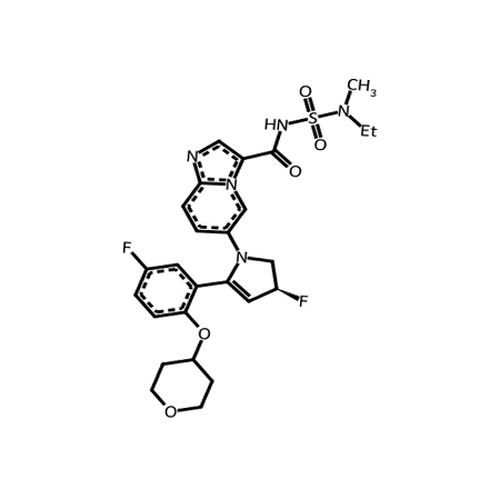 CCN(C)S(=O)(=O)NC(=O)c1cnc2ccc(N3C[C@@H](F)C=C3c3cc(F)ccc3OC3CCOCC3)cn12